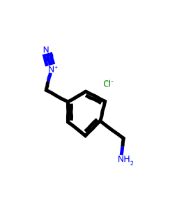 N#[N+]Cc1ccc(CN)cc1.[Cl-]